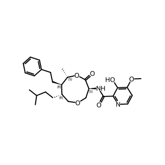 COc1ccnc(C(=O)N[C@H]2COC[C@H](CCC(C)C)[C@@H](CCc3ccccc3)[C@H](C)OC2=O)c1O